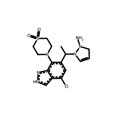 CC(c1cc(Cl)c2c[nH]nc2c1N1CCS(=O)(=O)CC1)N1C=CCN1N